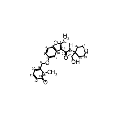 Cc1oc2ccc(OCc3cccc(=O)n3C)cc2c1C(=O)NC1(CO)CCOCC1